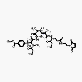 C/C(=C\[C@H](C(C)C)N(C)C(=O)[C@@H](NC(=O)C(N(C)C(=O)OC(C)(C)C)C(C)(C)c1ccc(C(=O)OC(C)(C)C)cc1)C(C)(C)C)C(=O)N[C@H](CCC(=O)NCCN1C(=O)C=CC1=O)C(=O)OC(C)(C)C